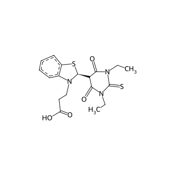 CCN1C(=O)C([C@@H]2Sc3ccccc3N2CCC(=O)O)C(=O)N(CC)C1=S